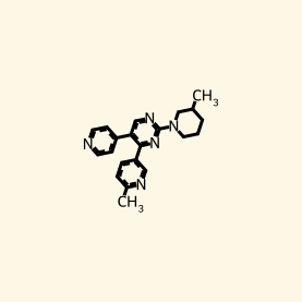 Cc1ccc(-c2nc(N3CCCC(C)C3)ncc2-c2ccncc2)cn1